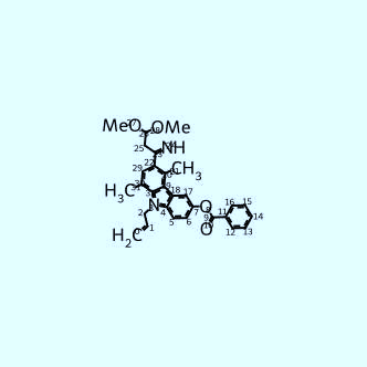 C=CCn1c2ccc(OC(=O)c3ccccc3)cc2c2c(C)c(C(=N)CC(OC)OC)cc(C)c21